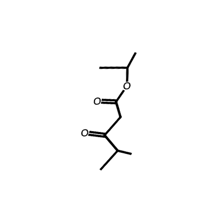 CC(C)OC(=O)CC(=O)C(C)C